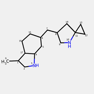 CC1CNC2CC(CC3CNC4(CC4)C3)CCC12